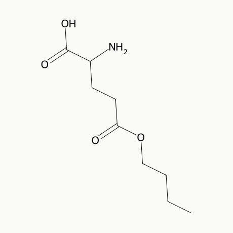 CCCCOC(=O)CCC(N)C(=O)O